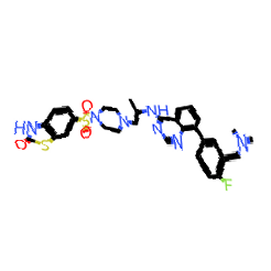 CC(CN1CCN(S(=O)(=O)c2ccc3[nH]c(=O)sc3c2)CC1)Nc1ncnc2c(-c3ccc(F)c(CN(C)C)c3)cccc12